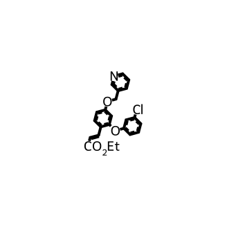 CCOC(=O)C=Cc1ccc(OCc2cccnc2)cc1Oc1cccc(Cl)c1